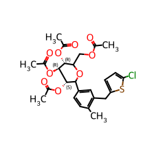 CC(=O)OCC1OC(c2ccc(C)c(Cc3ccc(Cl)s3)c2)[C@H](OC(C)=O)[C@@H](OC(C)=O)[C@@H]1OC(C)=O